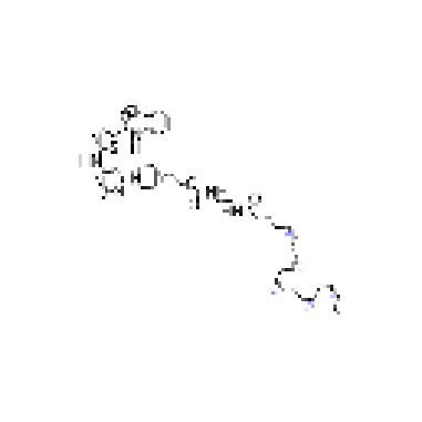 CC/C=C\C/C=C\C/C=C\C/C=C\C/C=C\CCCC(=O)NCCNC(=O)OCCN1CCN(c2cc(Nc3ncc(C(=O)Nc4c(C)cccc4Cl)s3)nc(C)n2)CC1